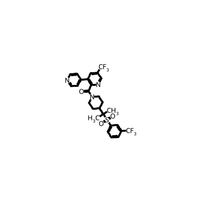 CC(C)(C1CCN(C(=O)c2ncc(C(F)(F)F)cc2-c2ccncc2)CC1)S(=O)(=O)c1cccc(C(F)(F)F)c1